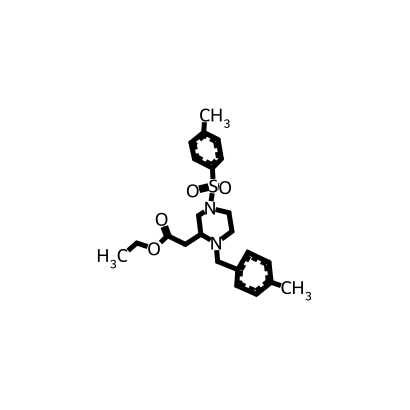 CCOC(=O)CC1CN(S(=O)(=O)c2ccc(C)cc2)CCN1Cc1ccc(C)cc1